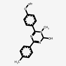 CCCOc1ccc(C2=NC(c3ccc(C)cc3)=NC(O)N2C)cc1